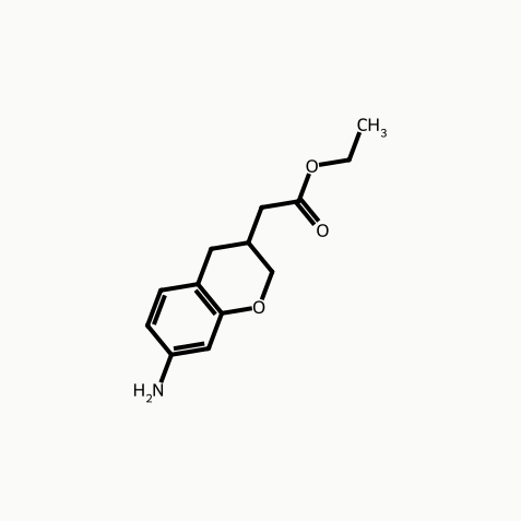 CCOC(=O)CC1COc2cc(N)ccc2C1